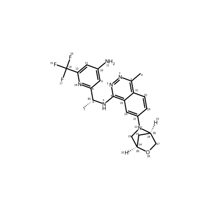 Cc1nnc(N[C@H](C)c2cc(N)cc(C(F)(F)F)n2)c2cc(N3C[C@H]4C[C@@H]3CO4)ccc12